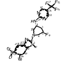 Cn1c(N2C[C@H](F)C[C@@H](Nc3ncc(C(F)(F)F)cn3)C2)nc2cc([N+](=O)[O-])c(Br)cc21